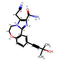 CC(C)(O)C#Cc1ccc2c(c1)-c1nc(C(N)=O)c(CC#N)n1CCO2